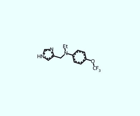 CCN(Cc1c[nH]cn1)c1ccc(OC(F)(F)F)cc1